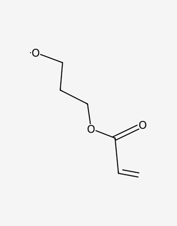 C=CC(=O)OCCC[O]